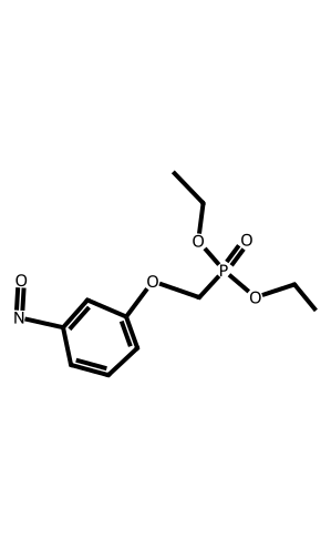 CCOP(=O)(COc1cccc(N=O)c1)OCC